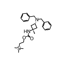 C[Si](C)(C)CCOC(=O)N[C@]1(C)C[C@H](N(Cc2ccccc2)Cc2ccccc2)C1